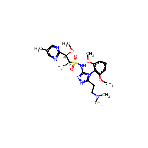 COc1cccc(OC)c1-n1c(CCN(C)C)nnc1NS(=O)(=O)[C@@H](C)[C@H](OC)c1ncc(C)cn1